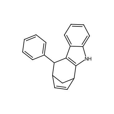 C1=CC2CC1c1[nH]c3ccccc3c1C2c1ccccc1